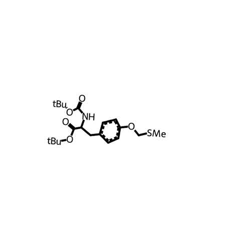 CSCOc1ccc(CC(NC(=O)OC(C)(C)C)C(=O)OC(C)(C)C)cc1